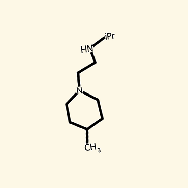 CC1CCN(CCNC(C)C)CC1